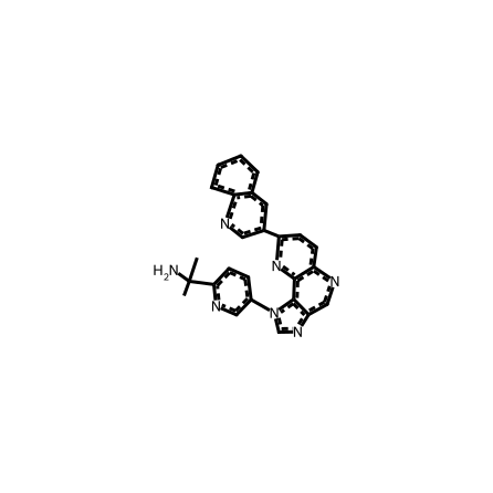 CC(C)(N)c1ccc(-n2cnc3cnc4ccc(-c5cnc6ccccc6c5)nc4c32)cn1